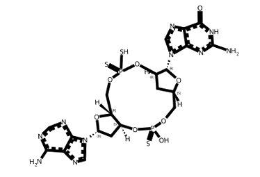 Nc1nc2c(ncn2[C@@H]2O[C@@H]3COP(O)(=S)O[C@H]4C[C@H](n5cnc6c(N)ncnc65)O[C@@H]4COP(=S)(S)O[C@@H]2C3)c(=O)[nH]1